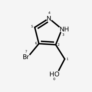 OCc1[nH]ncc1Br